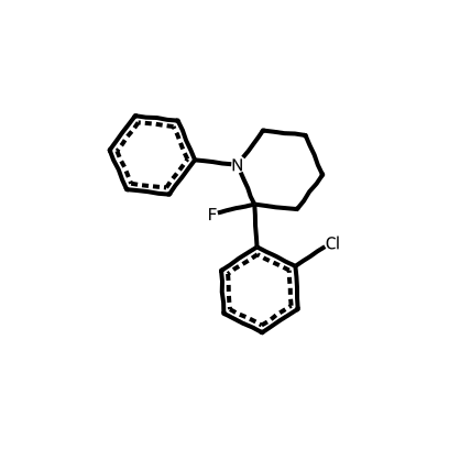 FC1(c2ccccc2Cl)CCCCN1c1ccccc1